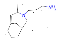 CC1C=C2CCCC(C2)CN1CCCN